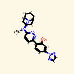 CN(c1ccc(-c2ccc(-n3nccn3)cc2O)nn1)C1CC2CCCC(C1)N2